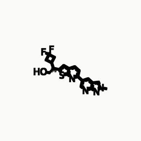 Cn1cc2cc(-c3ccc4cc([C@@H](CO)C5CC(F)(F)C5)sc4n3)cnc2n1